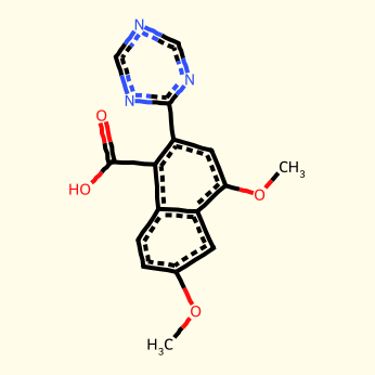 COc1ccc2c(C(=O)O)c(-c3ncncn3)cc(OC)c2c1